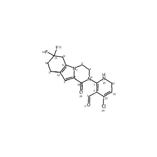 O=CC1=C(N2CCn3c(cc4c3CC(F)(F)CC4)C2=O)NCC=C1Cl